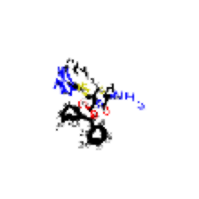 Cn1nnnc1SCC1=C(C(=O)OC(c2ccccc2)c2ccccc2)N2C(=O)C(N)[C@@H]2SC1